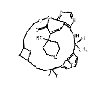 C[C@H]1Nc2ncnc3c2cc(C2(C#N)CCOCC2)c(=O)n3CCCCC2CC(CCC(F)(F)c3cccc1c3F)C2